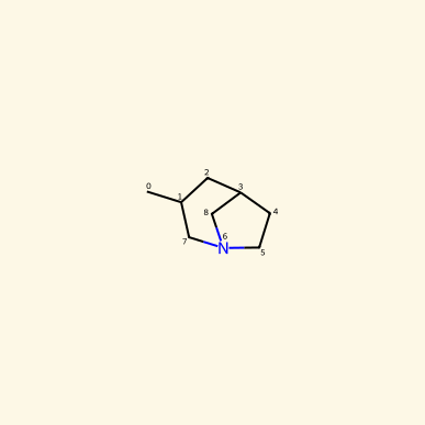 CC1CC2CCN(C1)C2